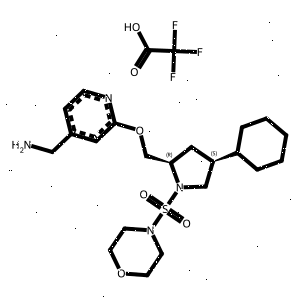 NCc1ccnc(OC[C@H]2C[C@@H](C3CCCCC3)CN2S(=O)(=O)N2CCOCC2)c1.O=C(O)C(F)(F)F